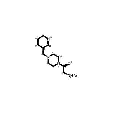 CC(=O)NCC(=O)N1CCN(CC2C=NCCC2)CC1